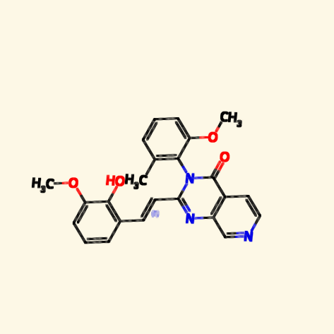 COc1cccc(/C=C/c2nc3cnccc3c(=O)n2-c2c(C)cccc2OC)c1O